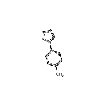 Cc1ccc(-n2c[c]nc2)cc1